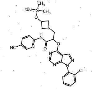 CC(C)(C)[Si](C)(C)OC1CN(CC(Oc2ncnc3c2cnn3-c2ccccc2Cl)C(=O)Nc2ccc(C#N)cn2)C1